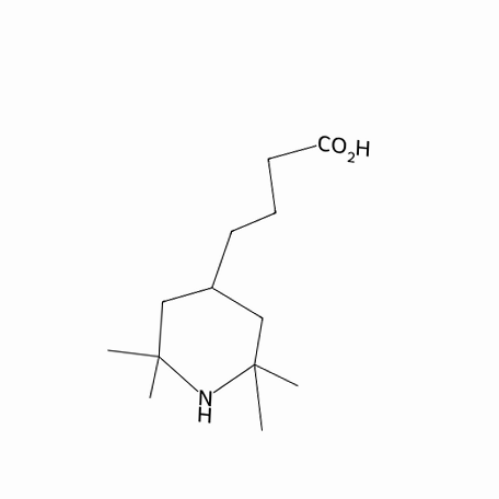 CC1(C)CC(CCCC(=O)O)CC(C)(C)N1